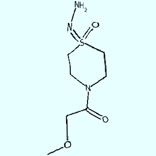 COCC(=O)N1CCS(=O)(=NN)CC1